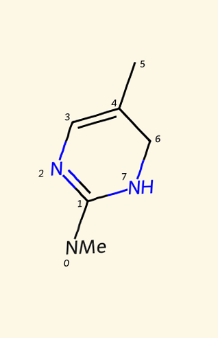 CNC1=NC=C(C)CN1